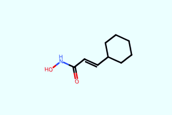 O=C(/C=C/C1CCCCC1)NO